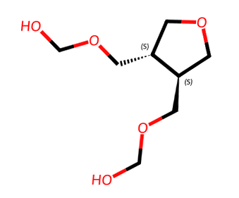 OCOC[C@@H]1COC[C@H]1COCO